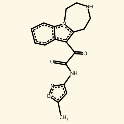 Cc1cc(NC(=O)C(=O)c2c3n(c4ccccc24)CCNCC3)no1